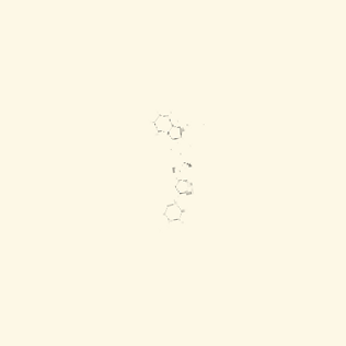 COc1ccc(-c2cc(NC(=O)C3Cc4c(n(C)c5ccccc45)C3)n[nH]2)cc1